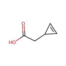 O=C(O)CC1C=C1